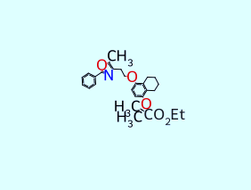 CCOC(=O)C(C)(C)Oc1ccc(OCCc2nc(-c3ccccc3)oc2C)c2c1CCCC2